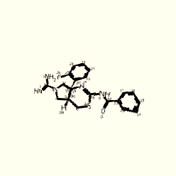 N=C(N)N1C[C@H]2CSC(NC(=O)c3ccccc3)=N[C@@]2(c2ccccc2F)C1